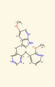 COc1cnc2[nH]cc(Cc3cn[c]nc3Cc3cccnc3OC)c2c1